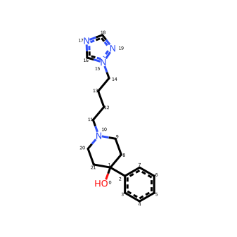 OC1(c2ccccc2)CCN(CCCCn2cncn2)CC1